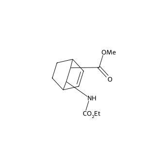 CCOC(=O)NC1C2C=CC(CC2)C1C(=O)OC